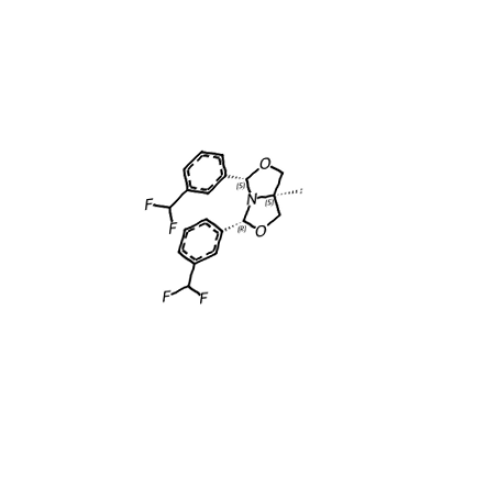 [CH][C@]12CO[C@H](c3cccc(C(F)F)c3)N1[C@H](c1cccc(C(F)F)c1)OC2